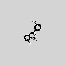 Cc1c(Cl)cccc1C=[N+]([O-])c1cccc(O)c1